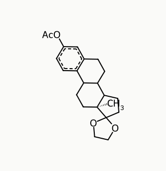 CC(=O)Oc1ccc2c(c1)CCC1C2CC[C@@]2(C)C1CCC21OCCO1